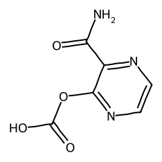 NC(=O)c1nccnc1OC(=O)O